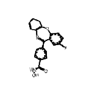 O=C(NO)c1ccc(C2=NC3=C(CCC=C3)Oc3ccc(F)cc32)cc1